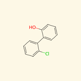 Oc1ccccc1-c1ccccc1Cl